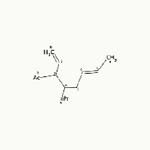 C=CC(C(C)=O)C(C/C=C/C)CCC